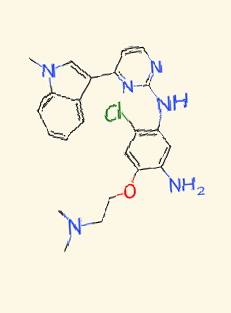 CN(C)CCOc1cc(Cl)c(Nc2nccc(-c3cn(C)c4ccccc34)n2)cc1N